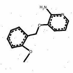 COc1ccccc1COc1cccnc1N